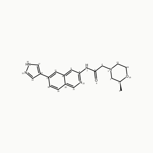 C[C@H]1CN(CC(=O)Nc2cc3cc(-c4cn[nH]c4)ccc3cn2)CCO1